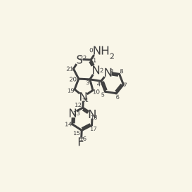 NC1=NC2(c3ccccn3)CN(c3ncc(F)cn3)CC2CS1